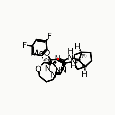 COc1cc(N2C[C@H]3CC[C@@H](C2)[C@@H]3Nc2nc3n(n2)CCCO[C@@H]3c2cc(F)cc(F)c2)cnn1